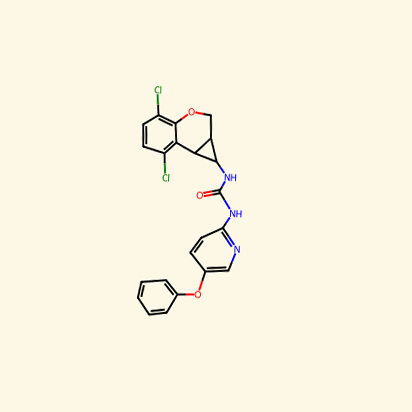 O=C(Nc1ccc(Oc2ccccc2)cn1)NC1C2COc3c(Cl)ccc(Cl)c3C21